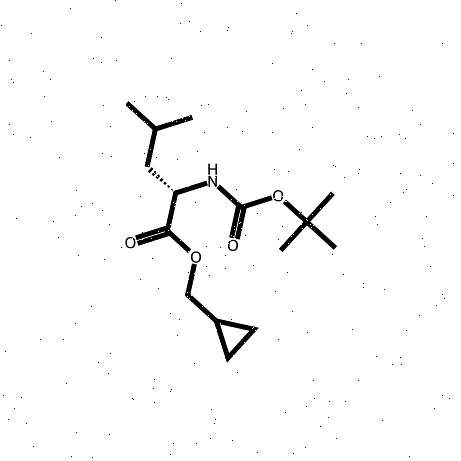 CC(C)C[C@H](NC(=O)OC(C)(C)C)C(=O)OCC1CC1